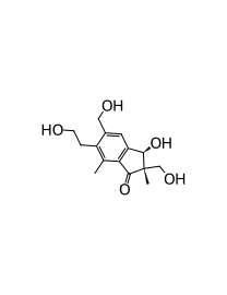 Cc1c(CCO)c(CO)cc2c1C(=O)[C@@](C)(CO)[C@@H]2O